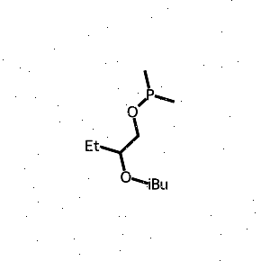 CCC(C)OC(CC)COP(C)C